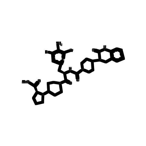 COC(=O)[C@@H]1CCCN1C1CCN(C(=O)[C@@H](Cc2cc(Br)c(N)c(Br)c2)NC(=O)N2CCC(N3Cc4ccccc4NC3=O)CC2)CC1